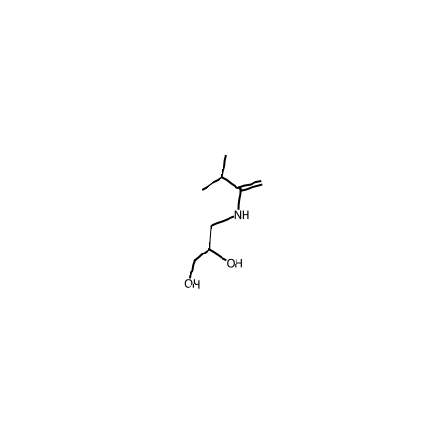 C=C(NCC(O)CO)C(C)C